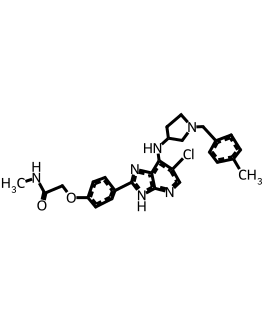 CNC(=O)COc1ccc(-c2nc3c(NC4CCN(Cc5ccc(C)cc5)C4)c(Cl)cnc3[nH]2)cc1